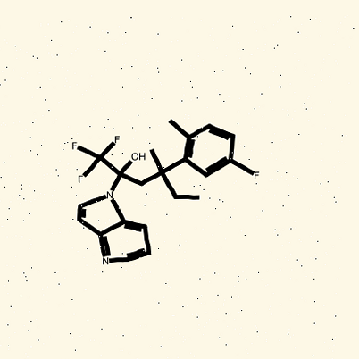 CCC(C)(CC(O)(n1ccc2ncccc21)C(F)(F)F)c1cc(F)ccc1C